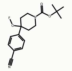 CC(C)(C)OC(=O)N1CCC(OF)(c2ccc(C#N)cc2)CC1